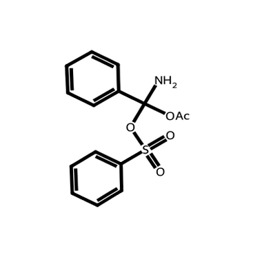 CC(=O)OC(N)(OS(=O)(=O)c1ccccc1)c1ccccc1